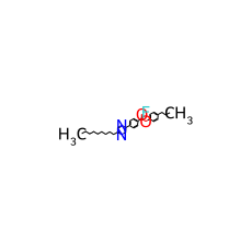 CCCCCCCCCc1cnc(-c2ccc(C(=O)Oc3ccc(CCC)cc3F)cc2)cn1